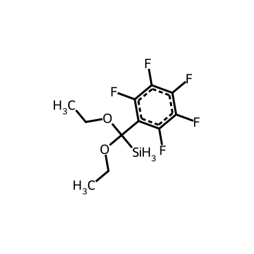 CCOC([SiH3])(OCC)c1c(F)c(F)c(F)c(F)c1F